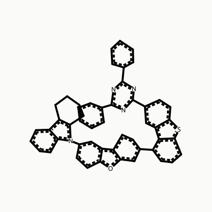 C1=Cc2c(c3ccccc3n2-c2ccc3oc4cc(-c5cccc6sc7ccc(-c8nc(-c9ccccc9)nc(-c9ccccc9)n8)cc7c56)ccc4c3c2)CC1